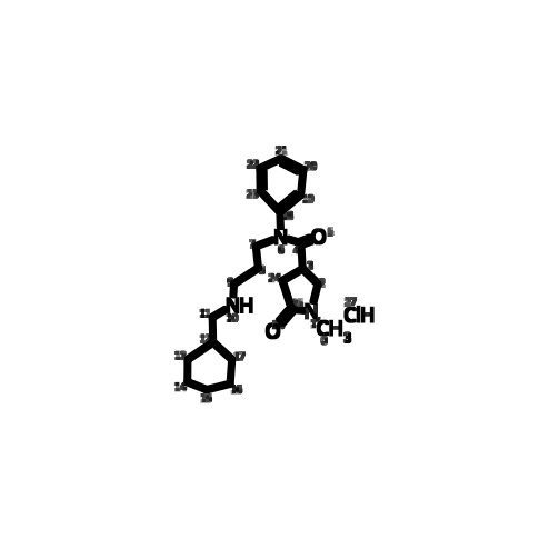 CN1CC(C(=O)N(CCCNCC2CCCCC2)c2ccccc2)CC1=O.Cl